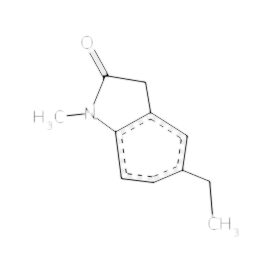 CCc1ccc2c(c1)CC(=O)N2C